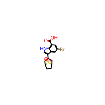 O=C(O)c1cc(Br)cc2c(C3CC4CCC(C3)S4(=O)=O)c[nH]c12